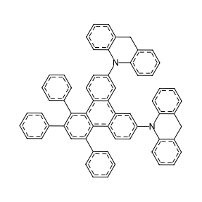 c1ccc(-c2cc(-c3ccccc3)c3c4ccc(N5c6ccccc6Cc6ccccc65)cc4c4cc(N5c6ccccc6Cc6ccccc65)ccc4c3c2-c2ccccc2)cc1